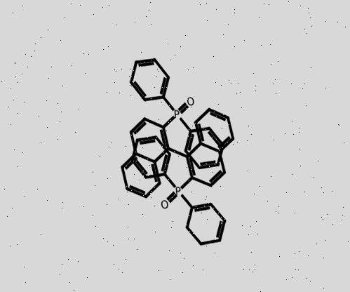 O=P(C1=CC=CCC1)(c1ccccc1)c1ccc2ccccc2c1-c1c(P(=O)(c2ccccc2)c2ccccc2)ccc2ccccc12